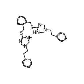 c1ccc(CCN2CN=C(SCc3ccccc3CSC3=NCN(CCc4ccccc4)CN3)NC2)cc1